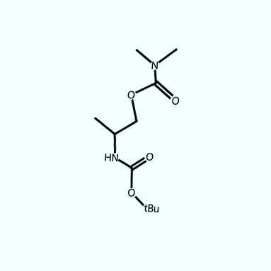 CC(COC(=O)N(C)C)NC(=O)OC(C)(C)C